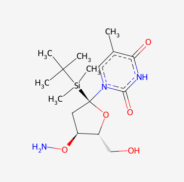 Cc1cn([C@@]2([Si](C)(C)C(C)(C)C)C[C@H](ON)[C@@H](CO)O2)c(=O)[nH]c1=O